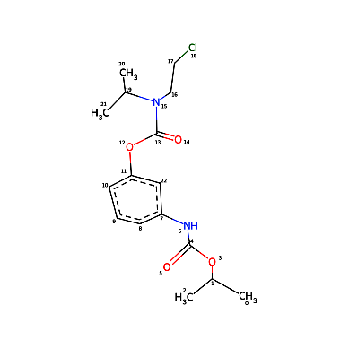 CC(C)OC(=O)Nc1cccc(OC(=O)N(CCCl)C(C)C)c1